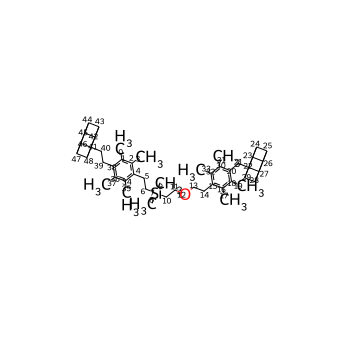 Cc1c(C)c(CC[Si](C)(C)CCOCCc2c(C)c(C)c(CC34C5C6C7C5C3C7C64)c(C)c2C)c(C)c(C)c1CCC12C3C4C5C3C1C5C42